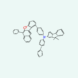 CC1(C)c2ccccc2-c2ccc(N(c3ccc(-c4ccccc4)cc3)c3ccc(-c4cccc5oc6c(-c7ccccc7)c7ccccc7cc6c45)cc3)cc21